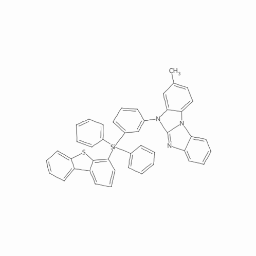 Cc1ccc2c(c1)n(-c1cccc([Si](c3ccccc3)(c3ccccc3)c3cccc4c3sc3ccccc34)c1)c1nc3ccccc3n21